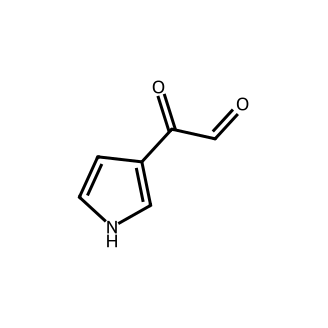 O=CC(=O)c1cc[nH]c1